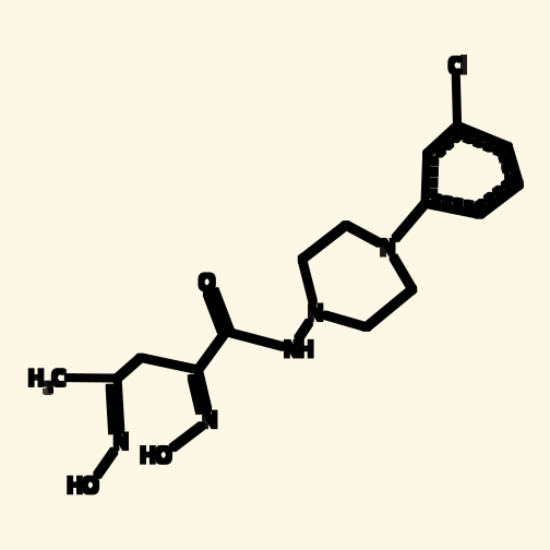 CC(CC(=NO)C(=O)NN1CCN(c2cccc(Cl)c2)CC1)=NO